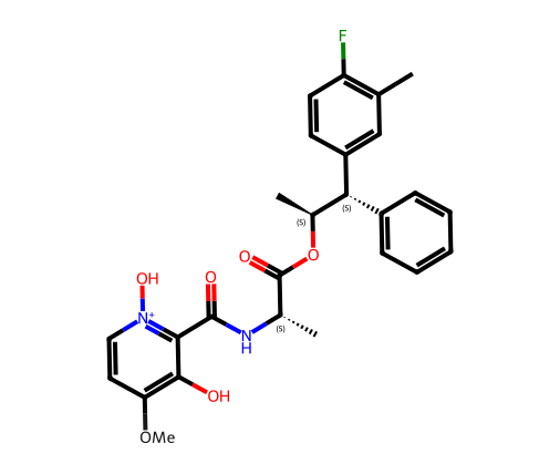 COc1cc[n+](O)c(C(=O)N[C@@H](C)C(=O)O[C@@H](C)[C@@H](c2ccccc2)c2ccc(F)c(C)c2)c1O